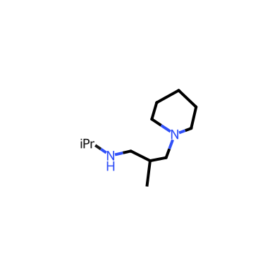 CC(CNC(C)C)CN1CCCCC1